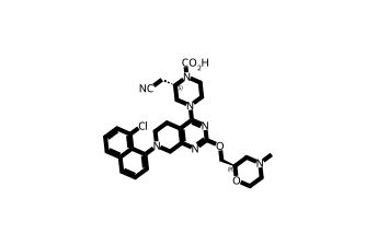 CN1CCO[C@@H](COc2nc3c(c(N4CCN(C(=O)O)[C@@H](CC#N)C4)n2)CCN(c2cccc4cccc(Cl)c24)C3)C1